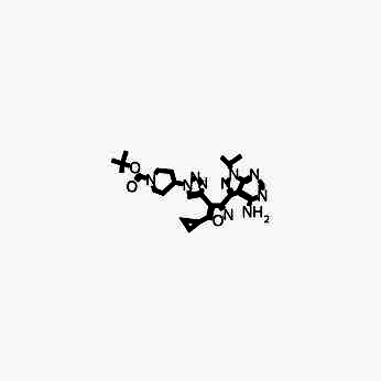 CC(C)n1nc(-c2noc(C3CC3)c2-c2cn(C3CCN(C(=O)OC(C)(C)C)CC3)nn2)c2c(N)ncnc21